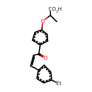 CCc1ccc(/C=C\C(=O)c2ccc(OC(C)C(=O)O)cc2)cc1